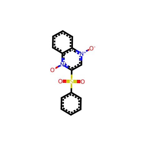 O=S(=O)(c1ccccc1)c1c[n+]([O-])c2ccccc2[n+]1[O-]